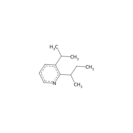 CCC(C)c1ncccc1C(C)C